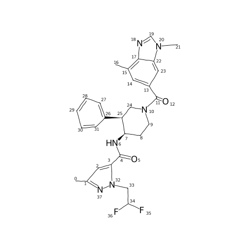 Cc1cc(C(=O)N[C@@H]2CCN(C(=O)c3cc(C)c4ncn(C)c4c3)C[C@@H]2c2ccccc2)n(CC(F)F)n1